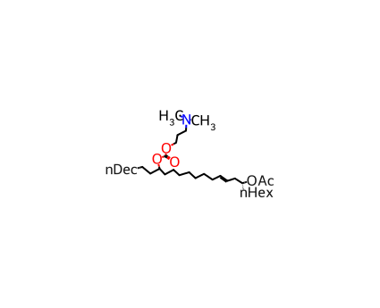 CCCCCCCCCCCCC(CCCCCCCC=CC[C@@H](CCCCCC)OC(C)=O)OC(=O)OCCCN(C)C